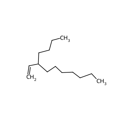 C=CC(CCCC)CCCCCCC